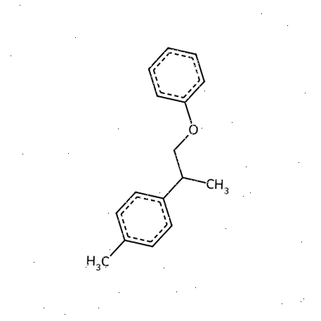 Cc1ccc(C(C)COc2ccccc2)cc1